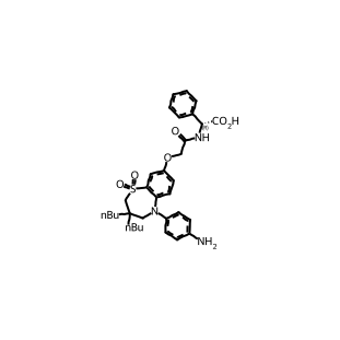 CCCCC1(CCCC)CN(c2ccc(N)cc2)c2ccc(OCC(=O)N[C@@H](C(=O)O)c3ccccc3)cc2S(=O)(=O)C1